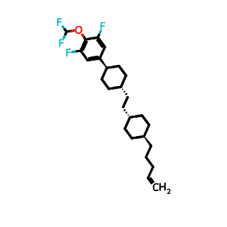 C=CCCC[C@H]1CC[C@H](CC[C@H]2CC[C@H](c3cc(F)c(OC(F)F)c(F)c3)CC2)CC1